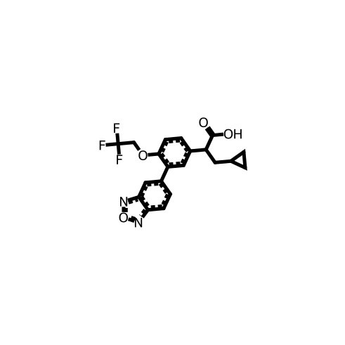 O=C(O)C(CC1CC1)c1ccc(OCC(F)(F)F)c(-c2ccc3nonc3c2)c1